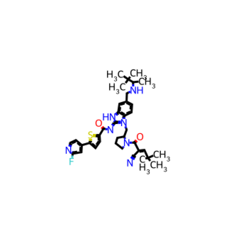 CC(NCc1ccc2c(c1)[nH]c(=NC(=O)c1ccc(-c3ccnc(F)c3)s1)n2CC1CCCN1C(=O)C(C#N)=CC(C)(C)C)C(C)(C)C